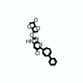 O=C1COC2C1OC[C@@H]2Oc1nc2nc(C3=CCC=C(c4ccccc4)C=C3)c(Cl)cc2[nH]1